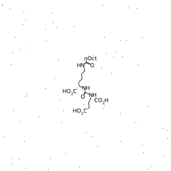 CCCCCCCCC(=O)NCCCC[C@H](NC(=O)N[C@@H](CCC(=O)O)C(=O)O)C(=O)O